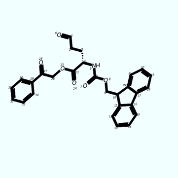 O=CCC[C@H](NC(=O)OCC1c2ccccc2-c2ccccc21)C(=O)OCC(=O)c1ccccc1